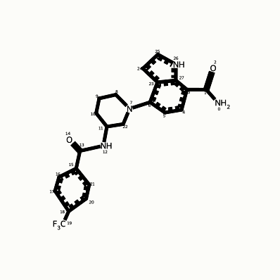 NC(=O)c1ccc(N2CCCC(NC(=O)c3ccc(C(F)(F)F)cc3)C2)c2cc[nH]c12